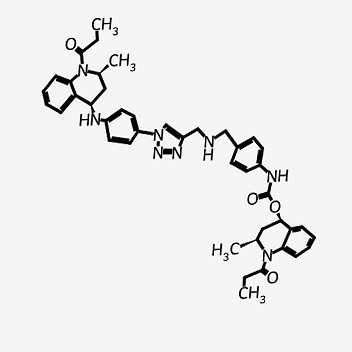 CCC(=O)N1c2ccccc2[C@H](Nc2ccc(-n3cc(CNCc4ccc(NC(=O)O[C@@H]5C[C@H](C)N(C(=O)CC)c6ccccc65)cc4)nn3)cc2)C[C@@H]1C